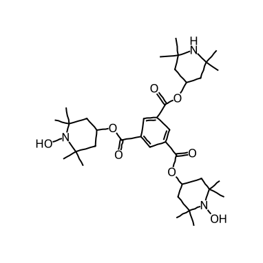 CC1(C)CC(OC(=O)c2cc(C(=O)OC3CC(C)(C)N(O)C(C)(C)C3)cc(C(=O)OC3CC(C)(C)N(O)C(C)(C)C3)c2)CC(C)(C)N1